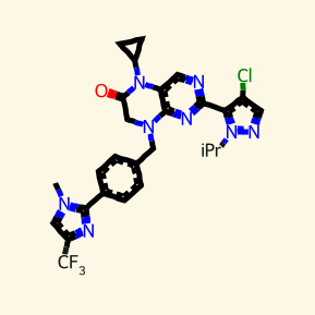 CC(C)n1ncc(Cl)c1-c1ncc2c(n1)N(Cc1ccc(-c3nc(C(F)(F)F)cn3C)cc1)CC(=O)N2C1CC1